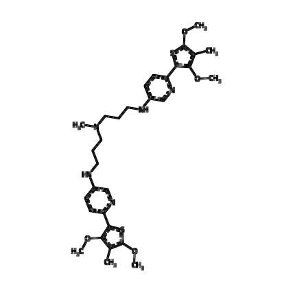 COc1sc(-c2ccc(NCCCN(C)CCCNc3ccc(-c4sc(OC)c(C)c4OC)nc3)cn2)c(OC)c1C